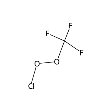 FC(F)(F)OOCl